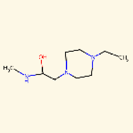 CCN1CCN(CC(O)NC)CC1